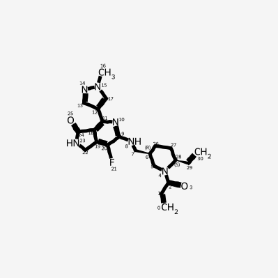 C=CC(=O)N1C[C@@H](CNc2nc(-c3cnn(C)c3)c3c(c2F)CNC3=O)CC[C@H]1C=C